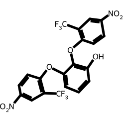 O=[N+]([O-])c1ccc(Oc2cccc(O)c2Oc2ccc([N+](=O)[O-])cc2C(F)(F)F)c(C(F)(F)F)c1